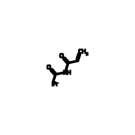 C=CC(=O)NC(=O)C(C)C